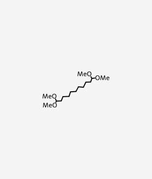 COC(CCCCCCCCCC(OC)OC)OC